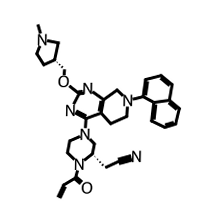 C=CC(=O)N1CCN(c2nc(OC[C@@H]3CCN(C)C3)nc3c2CCN(c2cccc4ccccc24)C3)C[C@@H]1CC#N